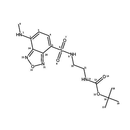 CNc1ccc(S(=O)(=O)NCCNC(=O)OC(C)(C)C)c2nonc12